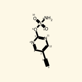 C#Cc1cnc(OS(N)(=O)=O)nc1